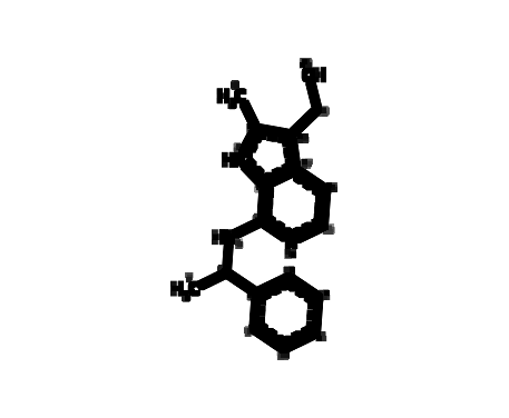 Cc1[nH]c2c(NC(C)c3ccccc3)nccc2c1CO